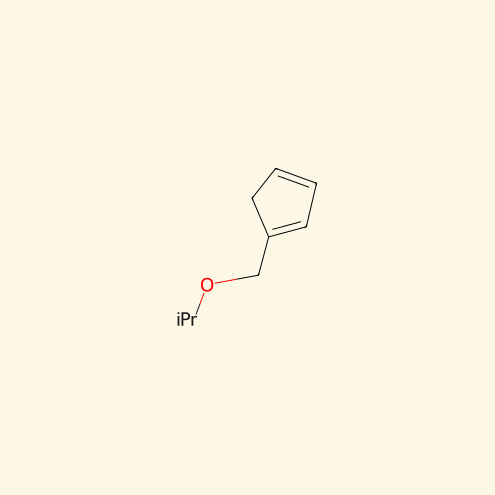 CC(C)OCC1=CC=CC1